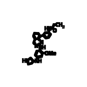 C=CC(=O)Nc1cccc(-c2cccc3cnc(Nc4ccc(NC5CCNC5)cc4OC)nc23)c1